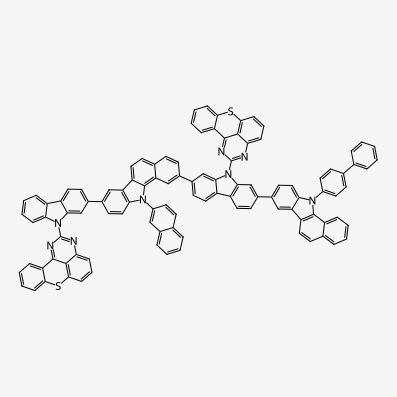 c1ccc(-c2ccc(-n3c4ccc(-c5ccc6c7ccc(-c8ccc9ccc%10c%11cc(-c%12ccc%13c%14ccccc%14n(-c%14nc%15c%16c(cccc%16n%14)Sc%14ccccc%14-%15)c%13c%12)ccc%11n(-c%11ccc%12ccccc%12c%11)c%10c9c8)cc7n(-c7nc8c9c(cccc9n7)Sc7ccccc7-8)c6c5)cc4c4ccc5ccccc5c43)cc2)cc1